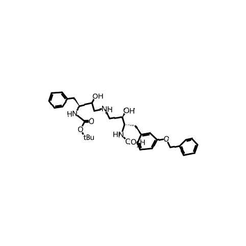 CC(C)(C)OC(=O)N[C@@H](Cc1ccccc1)C(O)CNC[C@@H](O)[C@H](Cc1cccc(OCc2ccccc2)c1)NC(=O)O